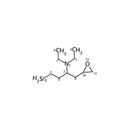 CCN(CC)C(CC[SiH3])CC1CO1